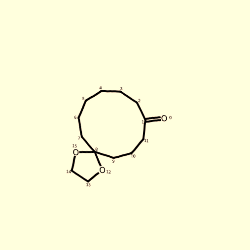 O=C1CCCCCCC2(CCC1)OCCO2